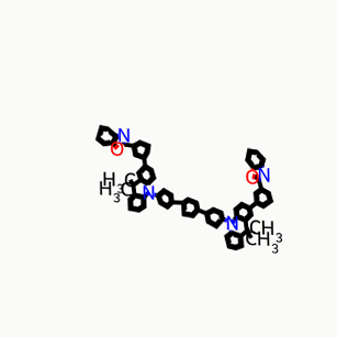 CC1(C)c2ccccc2N(c2ccc(-c3ccc(-c4ccc(N5c6ccccc6C(C)(C)c6cc(-c7cccc(-c8nc9ccccc9o8)c7)ccc65)cc4)cc3)cc2)c2ccc(-c3cccc(-c4nc5ccccc5o4)c3)cc21